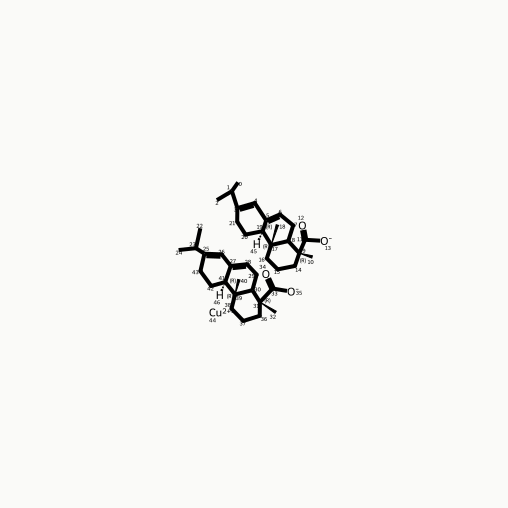 CC(C)C1=CC2=CCC3[C@](C)(C(=O)[O-])CCC[C@]3(C)[C@H]2CC1.CC(C)C1=CC2=CCC3[C@](C)(C(=O)[O-])CCC[C@]3(C)[C@H]2CC1.[Cu+2]